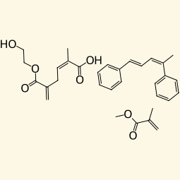 C=C(C)C(=O)OC.C=C(CC=C(C)C(=O)O)C(=O)OCCO.CC(=CC=Cc1ccccc1)c1ccccc1